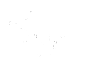 CCOC(=O)C1=CN(C(=O)c2cc(F)cc(F)c2)CCc2c1[nH]c1c(C)cccc21